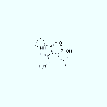 CC(C)CC(C(=O)O)N(C(=O)CN)C(=O)C1CCCN1